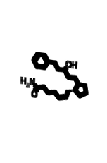 NC(=O)CCC/C=C\C[C@H]1CCCC1/C=C/C(O)CCc1ccccc1